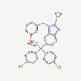 O=C(O)C(c1ccc(Cl)cc1)(c1ccc(Cl)cc1)c1ccc2nc(C3CC3)n(Cc3cccc(O)c3)c2c1